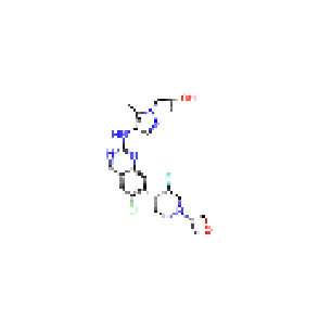 Cc1c(Nc2ncc3cc(Cl)c([C@H]4CCN(C5COC5)C[C@@H]4F)cc3n2)cnn1CC(C)(C)O